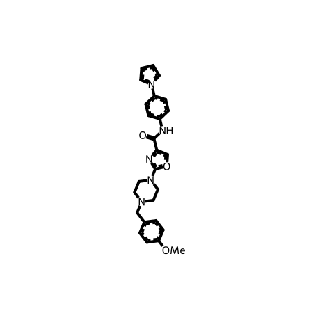 COc1ccc(CN2CCN(c3nc(C(=O)Nc4ccc(-n5cccc5)cc4)co3)CC2)cc1